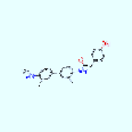 Cc1cc(-c2ccc(NC(C)C)c(C)c2)ccc1NC(=O)Cc1ccc(O)cc1